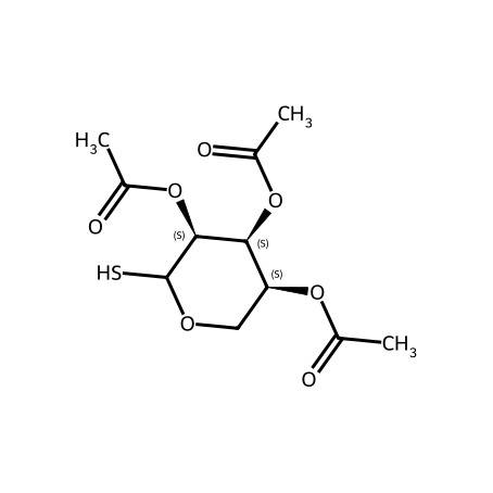 CC(=O)O[C@H]1[C@@H](OC(C)=O)COC(S)[C@H]1OC(C)=O